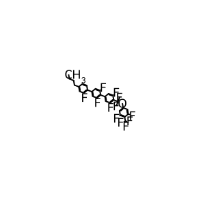 CCCCc1ccc(-c2cc(F)c(-c3cc(F)c(C(F)(F)Oc4cc(F)c(C(F)(F)F)c(F)c4)c(F)c3)c(F)c2)c(F)c1